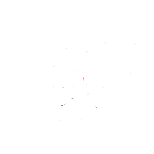 COc1cc(CC(CO)c2cc(/C=C/CO)cc(OC)c2O[C@@H]2O[C@H](CO)[C@@H](O)[C@H](O)[C@H]2O)ccc1O